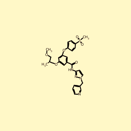 COC[C@H](C)Oc1cc(Oc2ccc(S(C)(=O)=O)cc2)cc(C(=O)Nc2ccn(Cc3cccnc3)n2)c1